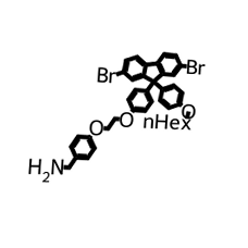 CCCCCCOc1ccc(C2(c3ccc(OCCOc4ccc(CN)cc4)cc3)c3cc(Br)ccc3-c3ccc(Br)cc32)cc1